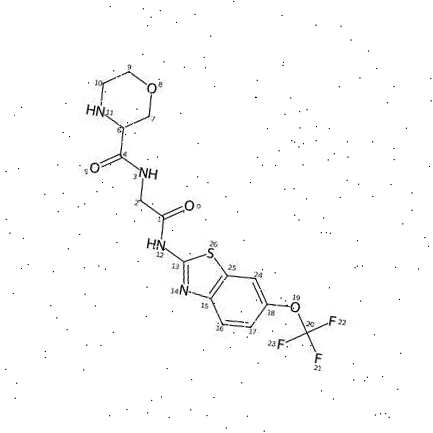 O=C(CNC(=O)C1COCCN1)Nc1nc2ccc(OC(F)(F)F)cc2s1